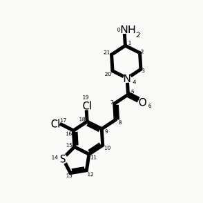 NC1CCN(C(=O)/C=C/c2cc3ccsc3c(Cl)c2Cl)CC1